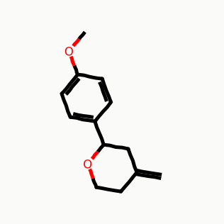 C=C1CCOC(c2ccc(OC)cc2)C1